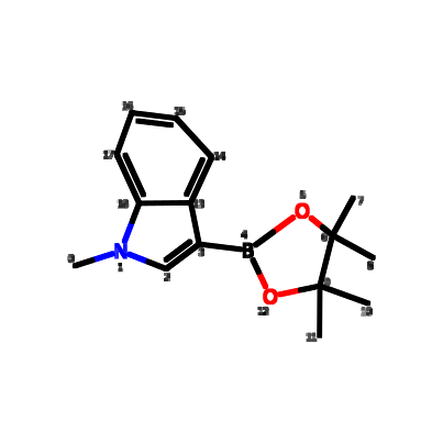 Cn1cc(B2OC(C)(C)C(C)(C)O2)c2ccccc21